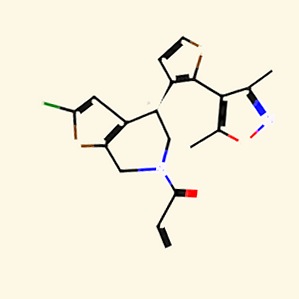 C=CC(=O)N1Cc2sc(Cl)cc2[C@@H](c2ccsc2-c2c(C)noc2C)C1